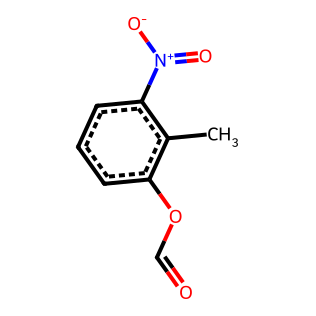 Cc1c(OC=O)cccc1[N+](=O)[O-]